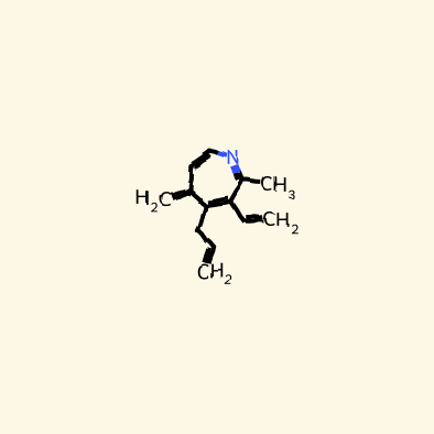 C=CCC1=C(C=C)C(C)=NC=CC1=C